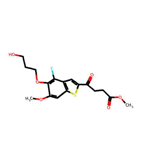 COC(=O)CCC(=O)c1cc2c(F)c(OCCCO)c(OC)cc2s1